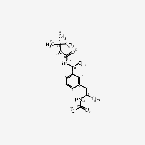 CC(Cc1cccc([C@H](C)NC(=O)OC(C)(C)C)c1)NC(=O)O